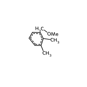 COC.Cc1ccccc1C